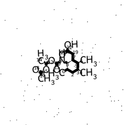 CCC[C@@H](C)[C@@H](C)[C@H](CNC(=O)O[C@H](C)OC(C)=O)CC(=O)O